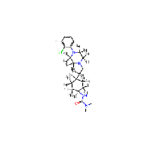 [2H]C1([2H])N(CC([2H])([2H])[C@]2([2H])C([2H])([2H])C([2H])([2H])[C@@]([2H])(NC(=O)N(C)C)C([2H])([2H])C2([2H])[2H])C([2H])([2H])C([2H])([2H])N(c2cccc(C)c2Cl)C1([2H])[2H]